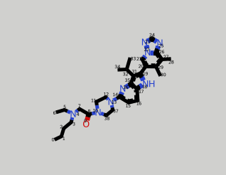 CCCCN(CC)CC(=O)N1CCN(c2ccc3[nH]c(-c4cn5ncnc5c(C)c4C)c(C(C)C)c3n2)CC1